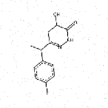 CC(C1=NNC(=O)C(O)C1)c1ccc(F)cc1